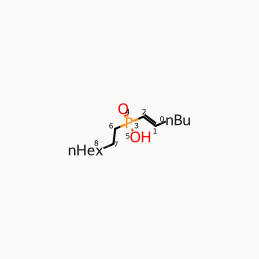 CCCCC=CP(=O)(O)CCCCCCCC